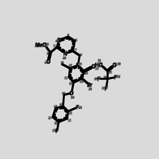 COC(=O)c1nccc(Cn2c(C)cc(OCc3ccc(F)cc3F)c(Br)c2=O)n1.O=C(O)C(F)(F)F